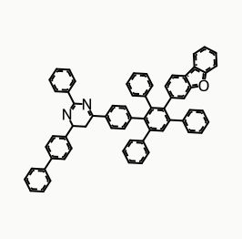 c1ccc(C2=NC(c3ccc(-c4ccccc4)cc3)CC(c3ccc(-c4c(-c5ccccc5)cc(-c5ccccc5)c(-c5ccc6c(c5)oc5ccccc56)c4-c4ccccc4)cc3)=N2)cc1